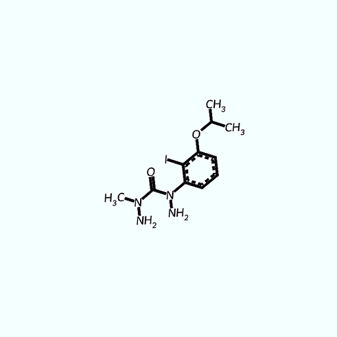 CC(C)Oc1cccc(N(N)C(=O)N(C)N)c1I